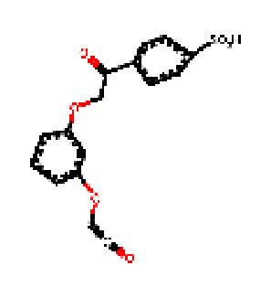 O=C=COc1cccc(OCC(=O)c2ccc(S(=O)(=O)O)cc2)c1